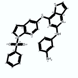 Nc1cccc(Nc2nc(Oc3cnc4c(ccn4S(=O)(=O)c4ccccc4)c3)c3sccc3n2)c1